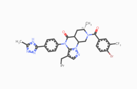 Cc1nnc(-c2ccc(N3C(=O)C4C[C@H](C)N(C(=O)c5ccc(Br)c(C(F)(F)F)c5)CC4n4ncc(CC(C)C)c43)cc2)[nH]1